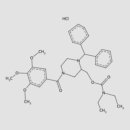 CCN(CC)C(=O)OCC1CN(C(=O)c2cc(OC)c(OC)c(OC)c2)CCN1C(c1ccccc1)c1ccccc1.Cl